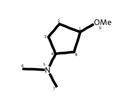 COC1CCC(N(C)C)C1